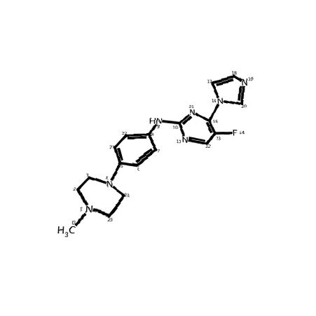 CN1CCN(c2ccc(Nc3ncc(F)c(-n4ccnc4)n3)cc2)CC1